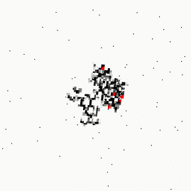 CCN(CC)C(=O)CN(CC(=O)N(CC)CC)C(=O)COCC(COC(C(F)(F)F)(C(F)(F)F)C(F)(F)F)(COC(C(F)(F)F)(C(F)(F)F)C(F)(F)F)COC(C(F)(F)F)(C(F)(F)F)C(F)(F)F